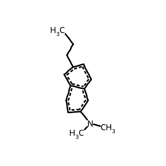 CCCc1ccc2cc(N(C)C)ccc2c1